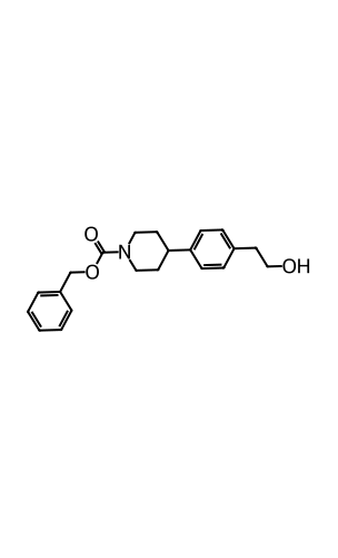 O=C(OCc1ccccc1)N1CCC(c2ccc(CCO)cc2)CC1